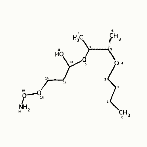 CCCCO[C@@H](C)C(C)OC(O)CCOON